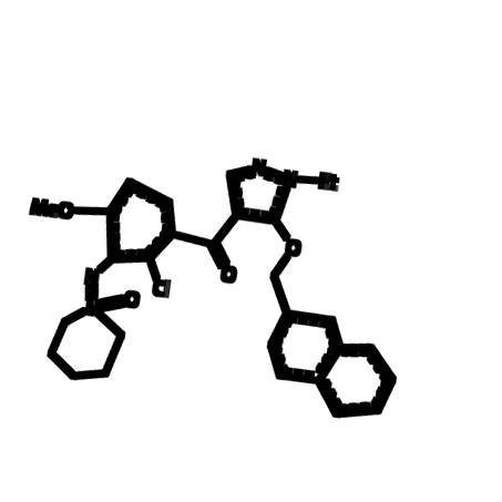 CCn1ncc(C(=O)c2ccc(OC)c(N=S3(=O)CCCCC3)c2Cl)c1OCc1ccc2ccccc2c1